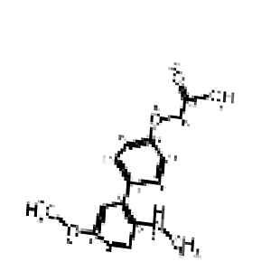 CNc1ccc(OC)cc1-c1ccc(OCC(=O)O)cc1